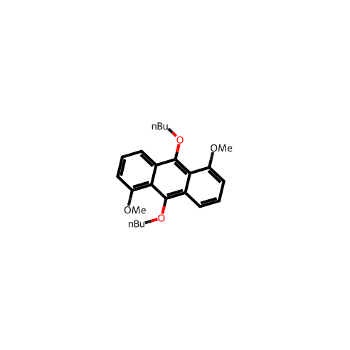 CCCCOc1c2cccc(OC)c2c(OCCCC)c2cccc(OC)c12